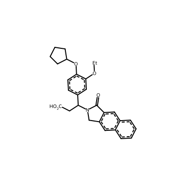 CCOc1cc(C(CC(=O)O)N2Cc3cc4ccccc4cc3C2=O)ccc1OC1CCCC1